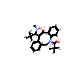 CN1OC2=C(c3ccccc3CN(C(=O)C(C)(C)C)c3ccccc32)C1C(C)(C)C